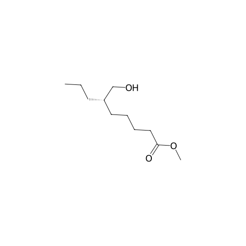 CCC[C@H](CO)CCCCC(=O)OC